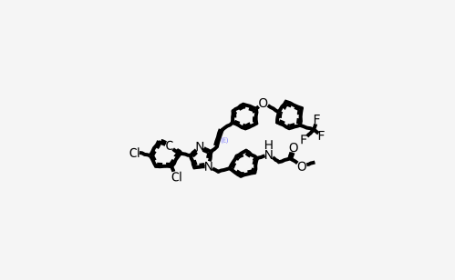 COC(=O)CNc1ccc(Cn2cc(-c3ccc(Cl)cc3Cl)nc2/C=C/c2ccc(Oc3ccc(C(F)(F)F)cc3)cc2)cc1